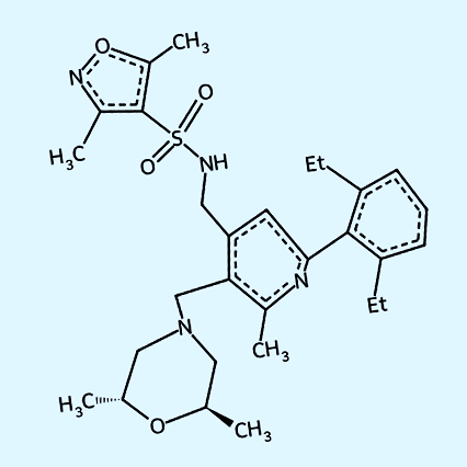 CCc1cccc(CC)c1-c1cc(CNS(=O)(=O)c2c(C)noc2C)c(CN2C[C@@H](C)O[C@H](C)C2)c(C)n1